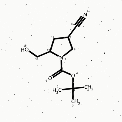 CC(C)(C)OC(=O)N1CC(C#N)CC1CO